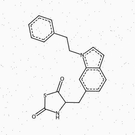 O=C1NC(Cc2ccc3ccn(CCc4ccccc4)c3c2)C(=O)S1